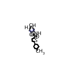 C#C/C=C(Cl)\C(=C/N)NS(=O)(=O)c1ccc(-c2ccc(C)cc2)s1